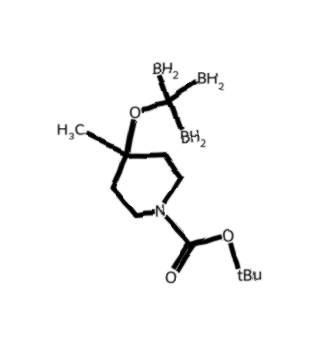 BC(B)(B)OC1(C)CCN(C(=O)OC(C)(C)C)CC1